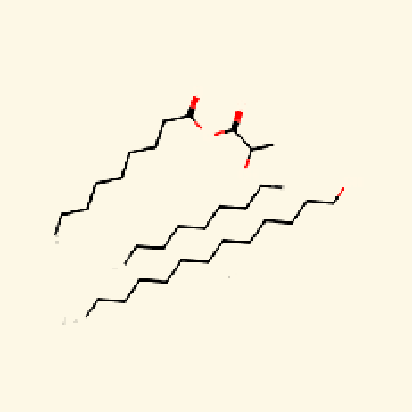 CCCCCCCCCCCCCCCCCC(=O)OC(=O)C(C)O.CCCCCCCCCCCCCCCCCC(=O)[O-].CCCCCCCCCCCCCCCCCCCCCCO.[Na+]